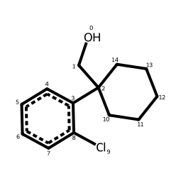 OCC1(c2ccccc2Cl)CCCCC1